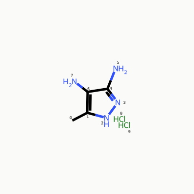 Cc1[nH]nc(N)c1N.Cl.Cl